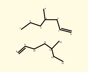 C=CCC(C)CCC.C=CCCC(C)CC